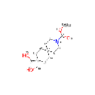 CC(C)(C)OC(=O)N1CCC2(CC1)CCC(CO)(CO)CC2